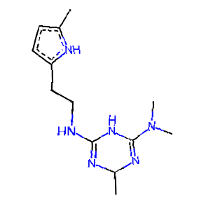 Cc1ccc(CCNC2=NC(C)N=C(N(C)C)N2)[nH]1